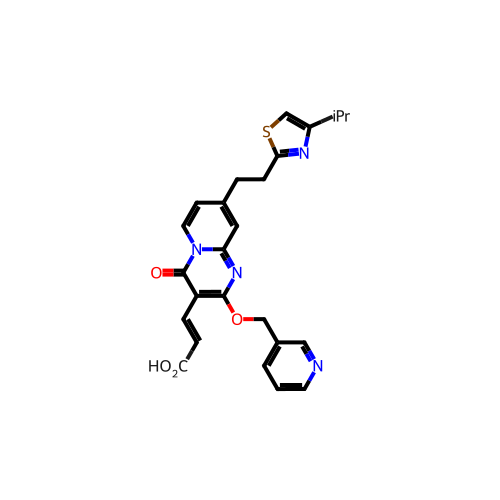 CC(C)c1csc(CCc2ccn3c(=O)c(C=CC(=O)O)c(OCc4cccnc4)nc3c2)n1